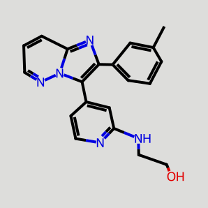 Cc1cccc(-c2nc3cccnn3c2-c2ccnc(NCCO)c2)c1